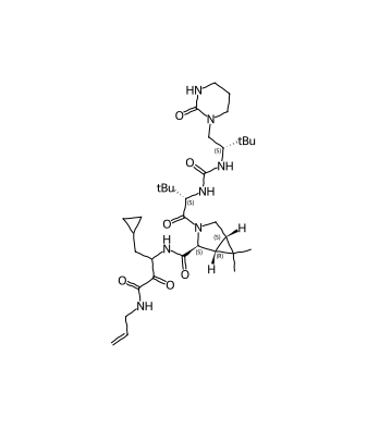 C=CCNC(=O)C(=O)C(CC1CC1)NC(=O)[C@@H]1[C@@H]2[C@H](CN1C(=O)[C@@H](NC(=O)N[C@H](CN1CCCNC1=O)C(C)(C)C)C(C)(C)C)C2(C)C